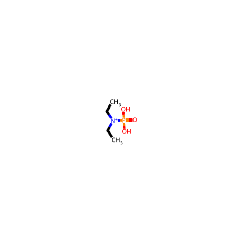 CC[N+](CC)P(=O)(O)O